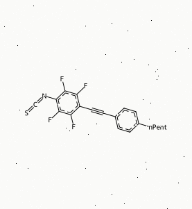 CCCCCc1ccc(C#Cc2c(F)c(F)c(N=C=S)c(F)c2F)cc1